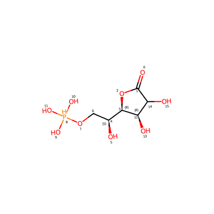 O=C1O[C@H]([C@@H](O)CO[PH](O)(O)O)[C@H](O)C1O